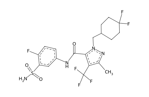 Cc1nn(CC2CCC(F)(F)CC2)c(C(=O)Nc2ccc(F)c(S(N)(=O)=O)c2)c1C(F)(F)F